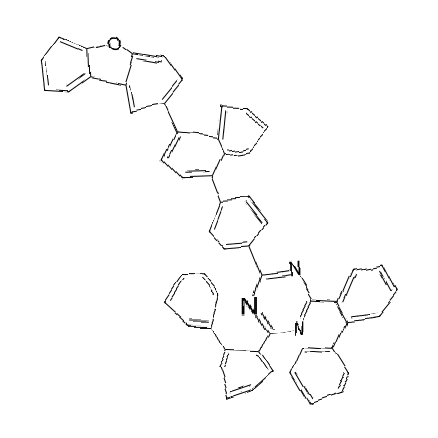 c1ccc(-c2ccccc2-c2nc(-c3ccc(-c4ccc(-c5ccc6oc7ccccc7c6c5)c5ccccc45)cc3)nc(-c3ccccc3-c3ccccc3)n2)cc1